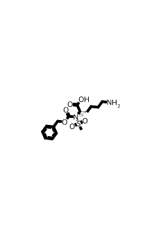 CS(=O)(=O)N(C(=O)OCc1ccccc1)[C@@H](CCCCN)C(=O)O